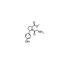 COC(=O)C1CCC(c2ccc(O)cc2)N1C(=O)CN